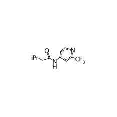 CC(C)CC(=O)Nc1ccnc(C(F)(F)F)c1